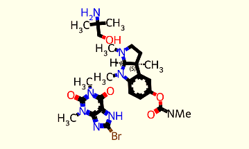 CC(C)(N)CO.CNC(=O)Oc1ccc2c(c1)[C@]1(C)CCN(C)[C@@H]1N2C.Cn1c(=O)c2[nH]c(Br)nc2n(C)c1=O